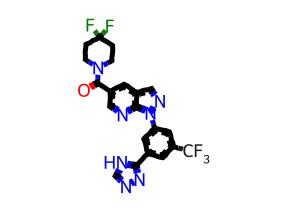 O=C(c1cnc2c(cnn2-c2cc(-c3nnc[nH]3)cc(C(F)(F)F)c2)c1)N1CCC(F)(F)CC1